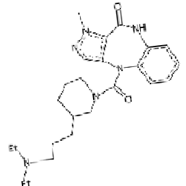 CCN(CC)CCCC1CCCN(C(=O)N2c3ccccc3NC(=O)c3c2cnn3C)C1